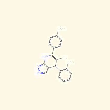 COc1ccc(C2=C(C#N)C(c3ccccc3OC)c3c[nH]nc3N2)cc1